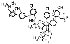 C[C@H](OC(C)(C)C)[C@H](NC(=O)[C@@H](C)NCc1ccc(Cl)cc1Oc1ccc(-c2cnc(CN(C)C)n2C)cc1)C(=O)N[C@@]1(Cc2ccc(Cl)cc2)CCCN(C(=O)C(CC(=O)O)CC(F)(F)F)C1